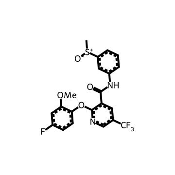 COc1cc(F)ccc1Oc1ncc(C(F)(F)F)cc1C(=O)Nc1cccc([S+](C)[O-])c1